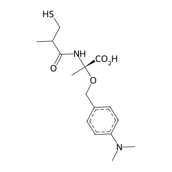 CC(CS)C(=O)N[C@@](C)(OCc1ccc(N(C)C)cc1)C(=O)O